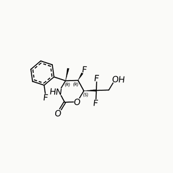 C[C@]1(c2ccccc2F)NC(=O)O[C@H](C(F)(F)CO)[C@@H]1F